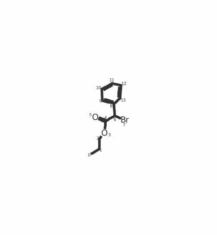 CCCOC(=O)C(Br)c1ccccc1